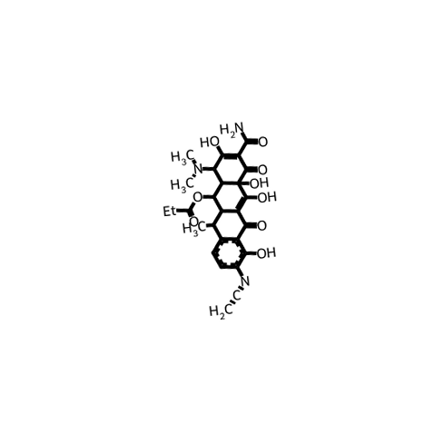 C=C=Nc1ccc2c(c1O)C(=O)C1=C(O)C3(O)C(=O)C(C(N)=O)=C(O)C(N(C)C)C3C(OC(=O)CC)C1C2C